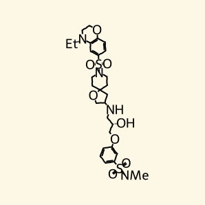 CCN1CCOc2ccc(S(=O)(=O)N3CCC4(CC3)CC(NC[C@H](O)COc3cccc(S(=O)(=O)NC)c3)CO4)cc21